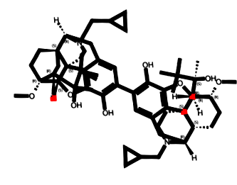 CO[C@]12CC[C@@]3(C[C@@H]1[C@](C)(O)C(C)(C)C)[C@H]1Cc4cc(-c5cc6c7c(c5O)O[C@@]5(C)[C@]78CCN(CC7CC7)[C@H](C6)[C@]86CC[C@@]5(OC)[C@@H](C(C)(O)C(C)(C)C)C6)c(O)c5c4[C@@]3(CCN1CC1CC1)[C@H]2O5